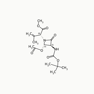 C=C(C)[C@H](C(=O)OC)N1C(=O)[C@@H](NC(=O)OC(C)(C)C)[C@@H]1OC(C)=O